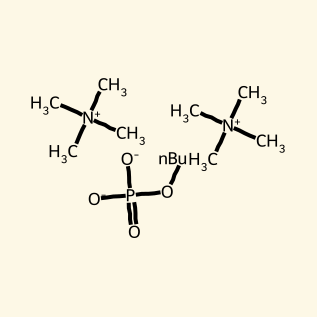 CCCCOP(=O)([O-])[O-].C[N+](C)(C)C.C[N+](C)(C)C